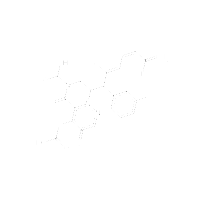 C=C(F)/C=C\C=C(/C)C(c1cccc(F)c1)C1CN(C(C)C)C(=O)c2c(OC(C)=O)c(=O)cnn21